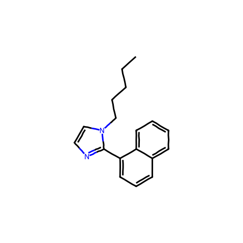 CCCCCn1ccnc1-c1cccc2ccccc12